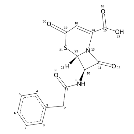 O=C(Cc1ccccc1)N[C@@H]1C(=O)N2C(C(=O)O)=CC(=O)S[C@@H]12